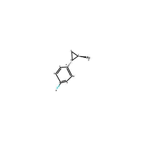 CC(=O)[C@@H]1C[C@H]1c1ccc(F)cc1